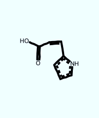 O=C(O)/C=C\c1ccc[nH]1